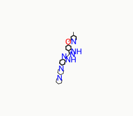 Cc1ccnc(Oc2ccc3c(-c4nc5ccc(N6CCC(N7CCCCC7)CC6)cc5[nH]4)n[nH]c3c2)c1